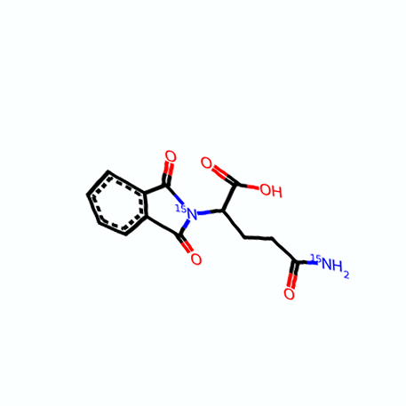 [15NH2]C(=O)CCC(C(=O)O)[15N]1C(=O)c2ccccc2C1=O